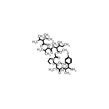 CCC(C)C([C@@H](CC(=O)N1CCC[C@H]1[C@H](OC)[C@@H](C)C(=O)N[C@H](C)C(N)c1ccc(F)cc1)OC)N(C)C(=O)[C@@H](NC(=O)C(C(C)C)N(C)C)C(C)C